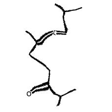 CC(=C=CC(C)C)CCC(=O)C(C)C